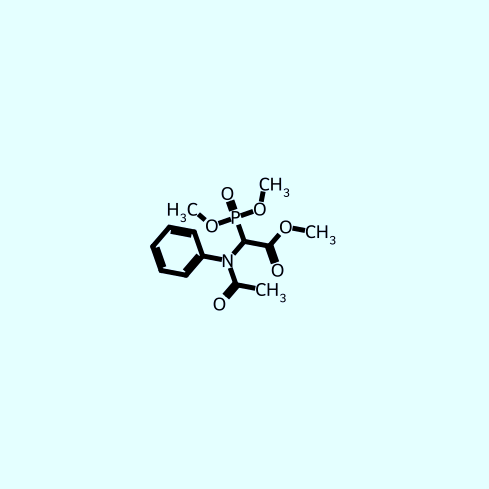 COC(=O)C(N(C(C)=O)c1ccccc1)P(=O)(OC)OC